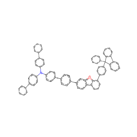 c1ccc(-c2ccc(N(c3ccc(-c4ccccc4)cc3)c3ccc(-c4ccc(-c5ccc6c(c5)oc5c(-c7ccc(C8(c9ccccc9)c9ccccc9-c9ccccc98)cc7)cccc56)cc4)cc3)cc2)cc1